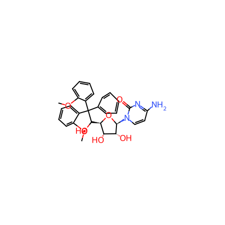 COc1ccccc1C(c1ccccc1)(c1ccccc1OC)C(O)[C@H]1O[C@@H](n2ccc(N)nc2=O)[C@H](O)[C@@H]1O